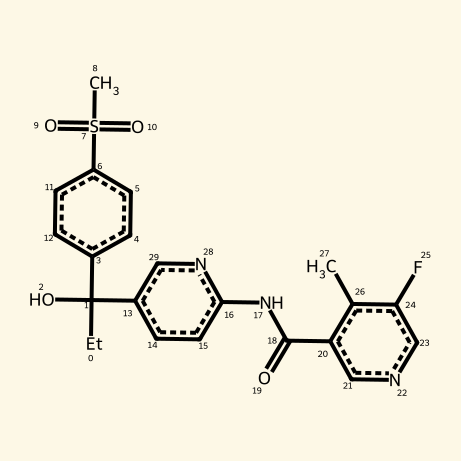 CCC(O)(c1ccc(S(C)(=O)=O)cc1)c1ccc(NC(=O)c2cncc(F)c2C)nc1